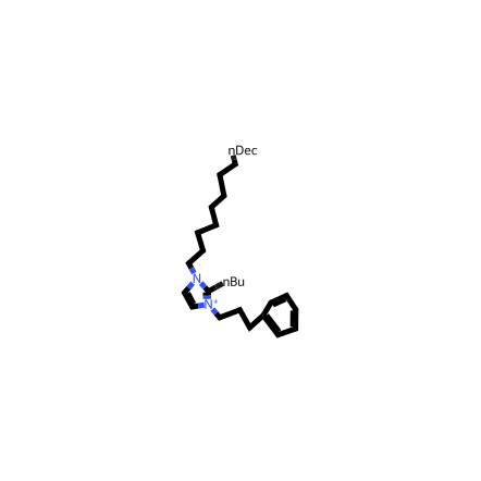 CCCCCCCCCCCCCCCCCCn1cc[n+](CCCc2ccccc2)c1CCCC